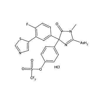 CN1C(=O)C(c2ccc(OS(=O)(=O)C(F)(F)F)cc2)(c2ccc(F)c(-c3cncs3)c2)N=C1[AsH2].Cl